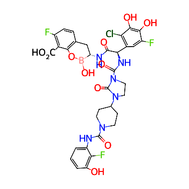 O=C(O)c1c(F)ccc2c1OB(O)[C@@H](NC(=O)[C@H](NC(=O)N1CCN(C3CCN(C(=O)Nc4cccc(O)c4F)CC3)C1=O)c1cc(F)c(O)c(O)c1Cl)C2